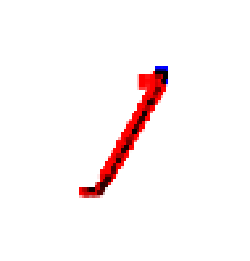 CCCCCCCC/C=C\CCCCCCCCOCCOCCOCCOCCOCCOCCOCCOCCOCCOCCOCCOCCOCCOCCOCCOCCOCCOCCOCCOCCC(CN1CCN(C)CC1)C(=O)O